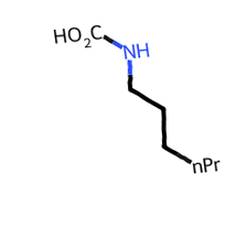 CCCCCCNC(=O)O